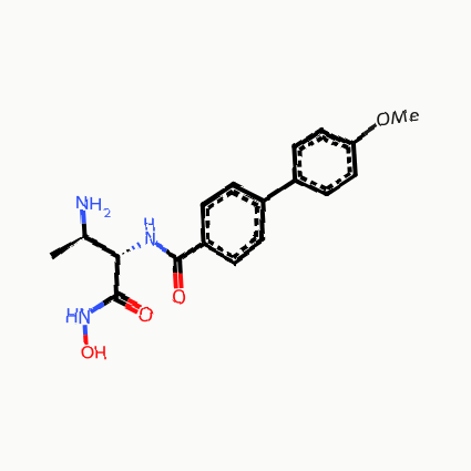 COc1ccc(-c2ccc(C(=O)N[C@H](C(=O)NO)[C@@H](C)N)cc2)cc1